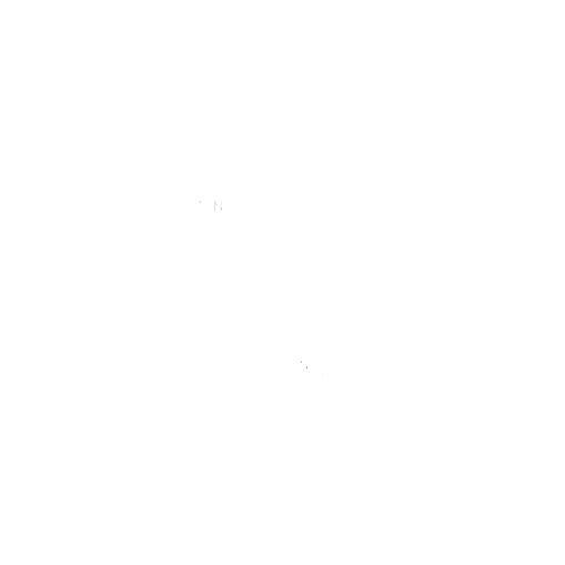 CC(=O)Nc1cccc([S+]([O-])CN)c1